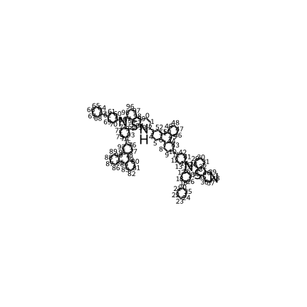 C1=CC(c2ccc3c4ccc(-c5ccc(N(c6ccc(-c7ccccc7)cc6)c6cccc7c6sc6ccncc67)cc5)cc4c4ccccc4c3c2)Nc2sc3c(N(c4ccc(-c5ccccc5)cc4)c4ccc(-c5ccc6c7ccccc7c7ccccc7c6c5)cc4)cccc3c21